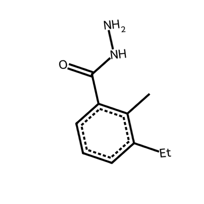 CCc1cccc(C(=O)NN)c1C